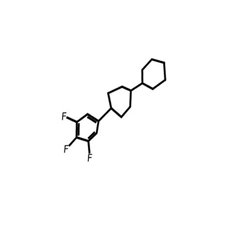 Fc1cc(C2CCC(C3CCCCC3)CC2)cc(F)c1F